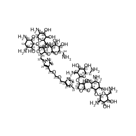 NCC1O[C@H](OC2C(N)C[C@@H](N)C(O)[C@H]2O[C@@H]2O[C@H](Cn3cc(COCOCc4cn(C[C@H]5O[C@@H](O[C@H]6C(O[C@H]7OC(CN)C(O)[C@H](O)C7N)C(N)C[C@@H](N)C6O)[C@@H](O)C5O[C@H]5O[C@@H](CN)C(O)C(O)C5N)nn4)nn3)C(O[C@H]3O[C@@H](CN)C(O)C(O)C3N)[C@@H]2O)C(N)[C@@H](O)C1O